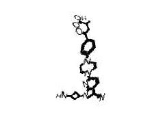 CNC1CC(n2cc(C#N)c3ccc(N4CCN(c5ccc(C(=O)CC(C)C(=O)O)cc5)CC4)nc32)C1